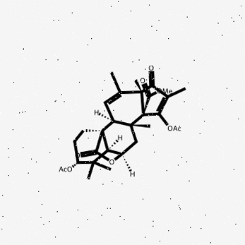 COC(=O)[C@]12C(OC(C)=O)=C(C)C(=O)[C@@]1(C)C(C)=C[C@@H]1[C@@]34CC[C@@H](OC(C)=O)C(C)(C)[C@@H]3[C@@H](C[C@]12C)OC4=O